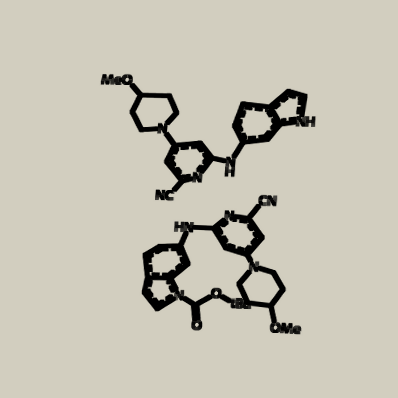 COC1CCN(c2cc(C#N)nc(Nc3ccc4cc[nH]c4c3)c2)CC1.COC1CCN(c2cc(C#N)nc(Nc3ccc4ccn(C(=O)OC(C)(C)C)c4c3)c2)CC1